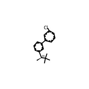 C[C@@H](c1cccc(-c2cccc(Cl)c2)c1)C(C)(C)C